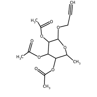 C#CCOC1OC(C)C(OC(C)=O)C(OC(C)=O)C1OC(C)=O